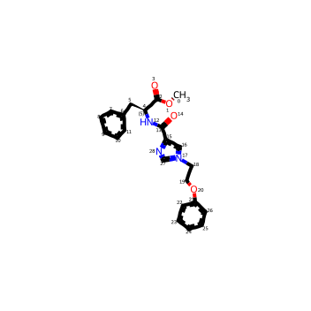 COC(=O)[C@H](Cc1ccccc1)NC(=O)c1cn(CCOc2ccccc2)cn1